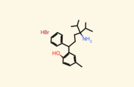 Br.Cc1ccc(O)c(C(CCC(N)(C(C)C)C(C)C)c2ccccc2)c1